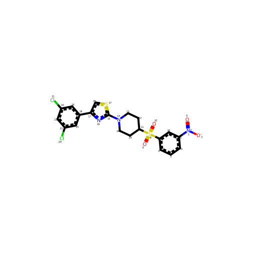 O=[N+]([O-])c1cccc(S(=O)(=O)C2CCN(c3nc(-c4cc(Cl)cc(Cl)c4)cs3)CC2)c1